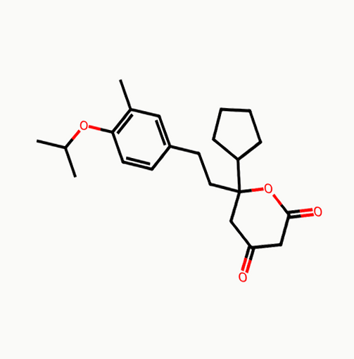 Cc1cc(CCC2(C3CCCC3)CC(=O)CC(=O)O2)ccc1OC(C)C